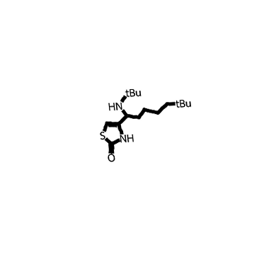 CC(C)(C)CCCCC(NC(C)(C)C)c1csc(=O)[nH]1